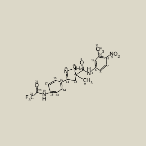 CC1(C(=O)Nc2ccc([N+](=O)[O-])c(C(F)(F)F)c2)CC(c2ccc(NC(=O)C(F)(F)F)cc2)=NN1